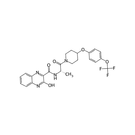 C[C@H](NC(=O)c1nc2ccccc2nc1O)C(=O)N1CCC(Oc2ccc(OC(F)(F)F)cc2)CC1